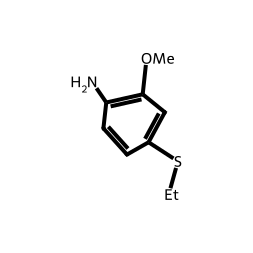 CCSc1ccc(N)c(OC)c1